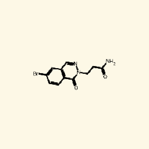 NC(=O)CCn1ncc2cc(Br)ccc2c1=O